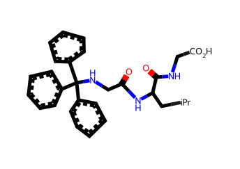 CC(C)CC(NC(=O)CNC(c1ccccc1)(c1ccccc1)c1ccccc1)C(=O)NCC(=O)O